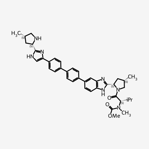 COC(=O)N(C)[C@H](C(=O)N1C[C@@H](C)C[C@H]1c1nc2cc(-c3ccc(-c4ccc(-c5c[nH]c([C@@H]6C[C@H](C)CN6)n5)cc4)cc3)ccc2[nH]1)C(C)C